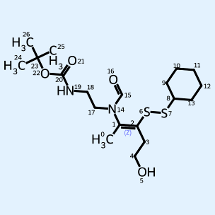 C/C(=C(\CCO)SSC1CCCCC1)N(C=O)CCNC(=O)OC(C)(C)C